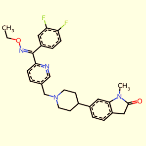 CCO/N=C(\c1ccc(F)c(F)c1)c1ccc(CN2CCC(c3ccc4c(c3)N(C)C(=O)C4)CC2)cn1